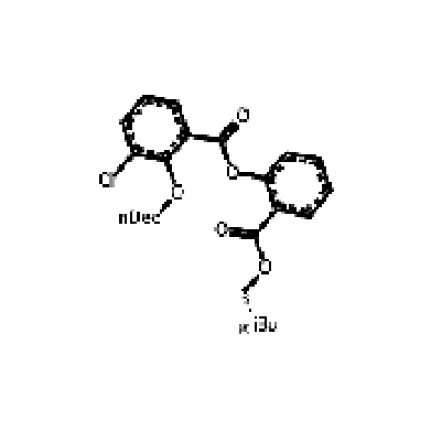 CCCCCCCCCCOc1c(Cl)cccc1C(=O)Oc1ccccc1C(=O)OC[C@@H](C)CC